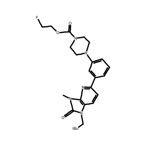 Cn1c(=O)n(CC(C)(C)C)c2ccc(-c3cccc(N4CCN(C(=O)OCCF)CC4)c3)nc21